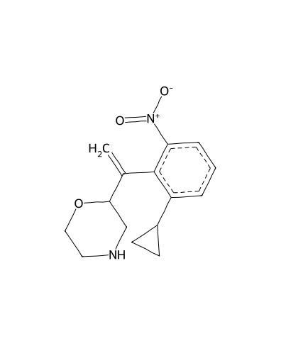 C=C(c1c(C2CC2)cccc1[N+](=O)[O-])C1CNCCO1